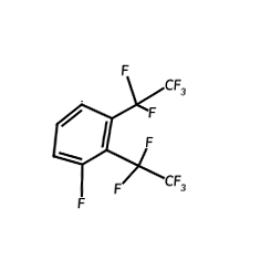 Fc1cc[c]c(C(F)(F)C(F)(F)F)c1C(F)(F)C(F)(F)F